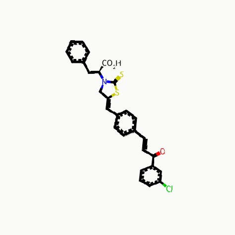 O=C(/C=C/c1ccc(/C=C2/CN([C@@H](Cc3ccccc3)C(=O)O)C(=S)S2)cc1)c1cccc(Cl)c1